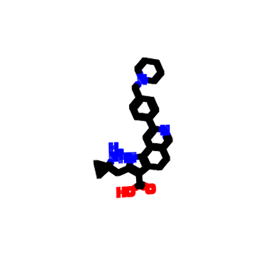 NC1(Cc2[nH]c3c(c2C(=O)O)CCc2cnc(-c4ccc(CN5CCCCC5)cc4)cc2-3)CC1